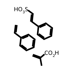 C=C(C)C(=O)O.C=Cc1ccccc1.O=S(=O)(O)C=Cc1ccccc1